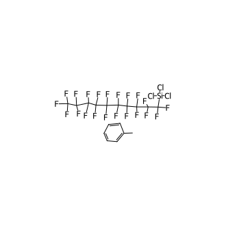 Cc1ccccc1.FC(F)(F)C(F)(F)C(F)(F)C(F)(F)C(F)(F)C(F)(F)C(F)(F)C(F)(F)C(F)(F)C(F)(F)[Si](Cl)(Cl)Cl